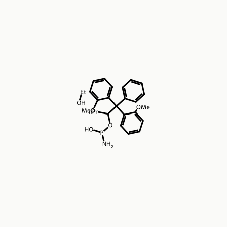 CCCC(OP(N)O)C(c1ccccc1)(c1ccccc1OC)c1ccccc1OC.CCO